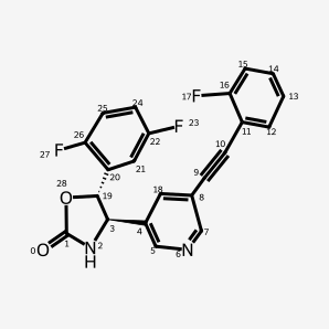 O=C1N[C@H](c2cncc(C#Cc3ccccc3F)c2)[C@@H](c2cc(F)ccc2F)O1